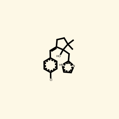 CC1(C)CCC(=Cc2ccc(Cl)cc2)C1(O)Cc1ncc[nH]1